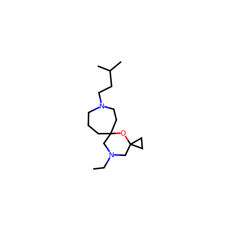 CCN1CC2(CCCN(CCC(C)C)CC2)OC2(CC2)C1